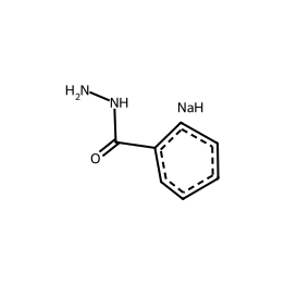 NNC(=O)c1ccccc1.[NaH]